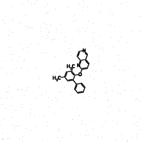 Cc1cc(C)c(Oc2ccc3cnccc3n2)c(-c2ccccc2)c1